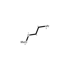 [CH2]OOCCCCC